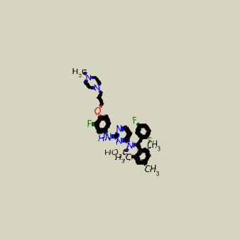 Cc1cc(C)c(C(c2cc(F)ccc2F)N(C(=O)O)c2ccnc(Nc3ccc(OCCCN4CCN(C)CC4)c(F)c3)n2)c(C)c1